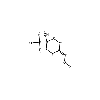 COC=C1CCC(O)(C(F)(F)F)CC1